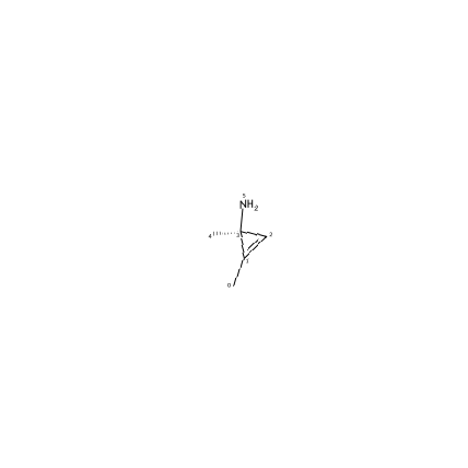 CC1=C[C@]1(C)N